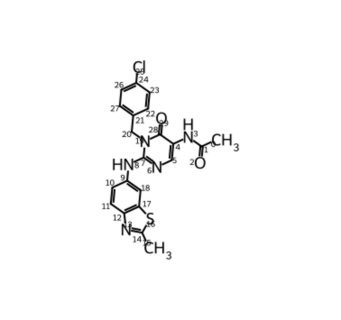 CC(=O)Nc1cnc(Nc2ccc3nc(C)sc3c2)n(Cc2ccc(Cl)cc2)c1=O